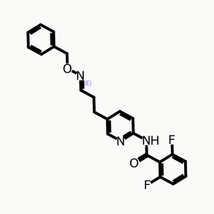 O=C(Nc1ccc(CC/C=N/OCc2ccccc2)cn1)c1c(F)cccc1F